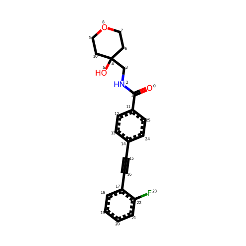 O=C(NCC1(O)CCOCC1)c1ccc(C#Cc2ccccc2F)cc1